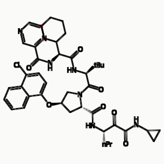 CCC[C@H](NC(=O)[C@@H]1C[C@@H](Oc2ccc(Cl)c3ccccc23)CN1C(=O)[C@@H](NC(=O)[C@@H](NC(=O)c1cnccn1)C1CCCCC1)C(C)(C)C)C(=O)C(=O)NC1CC1